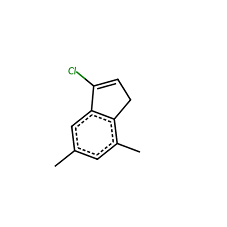 Cc1cc(C)c2c(c1)C(Cl)=CC2